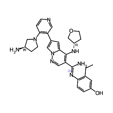 CCc1cc(O)ccc1/N=C(\N)c1cnn2cc(-c3cnccc3N3CC[C@@H](N)C3)cc2c1N[C@H]1CCOC1